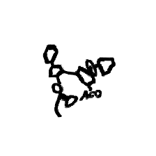 C=CC(=O)OCc1ccc(-c2ccccc2)cc1-c1cc(COC(C)=O)cc(Oc2ccccc2)c1